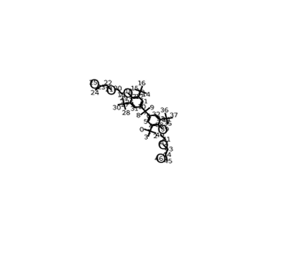 CC(C)(C)c1cc(C(C)(C)c2cc(C(C)(C)C)c(OCCOCC3CO3)c(C(C)(C)C)c2)cc(C(C)(C)C)c1OCCOCC1CO1